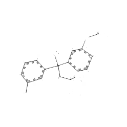 Cc1cccc(C(C#N)(C[C@H](O)C(F)(F)F)c2cccc(OC(F)(F)F)c2)c1